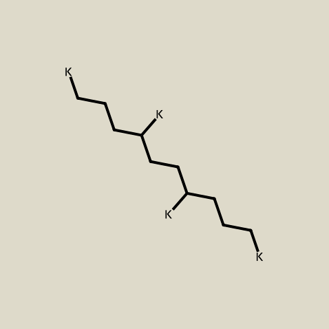 [K][CH2]CC[CH]([K])CC[CH]([K])CC[CH2][K]